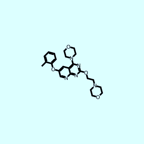 Cc1ccccc1Oc1cnc2nc(OCCN3CCOCC3)nc(N3CCOCC3)c2c1